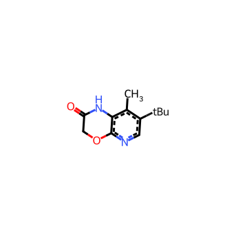 Cc1c(C(C)(C)C)cnc2c1NC(=O)CO2